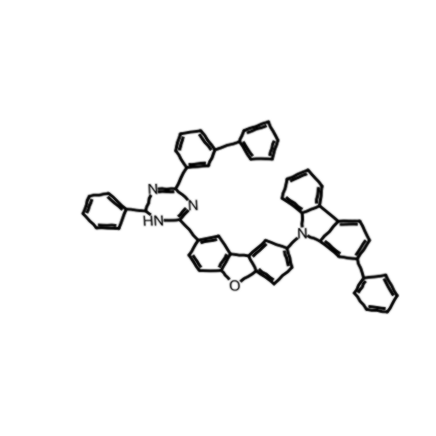 c1ccc(-c2cccc(C3=NC(c4ccccc4)NC(c4ccc5oc6ccc(-n7c8ccccc8c8ccc(-c9ccccc9)cc87)cc6c5c4)=N3)c2)cc1